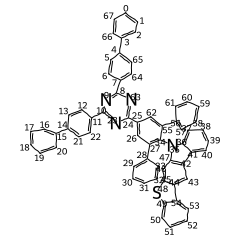 c1ccc(-c2ccc(-c3nc(-c4ccc(-c5ccccc5)cc4)nc(-c4cc(-c5ccccc5)c(-n5c6ccccc6c6cc7c(cc65)sc5ccccc57)c(-c5ccccc5)c4)n3)cc2)cc1